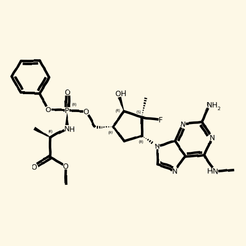 CNc1nc(N)nc2c1ncn2[C@@H]1C[C@H](CO[P@](=O)(N[C@H](C)C(=O)OC)Oc2ccccc2)[C@@H](O)[C@@]1(C)F